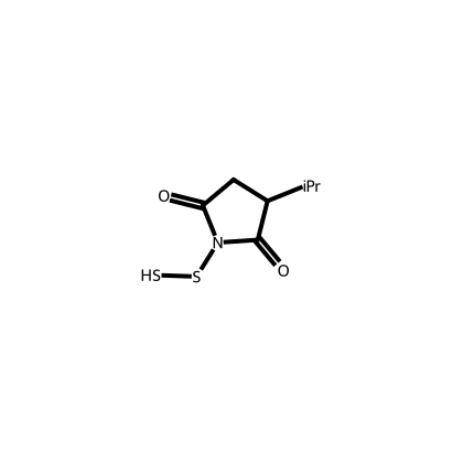 CC(C)C1CC(=O)N(SS)C1=O